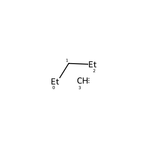 CCCCC.[CH]